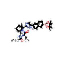 COC(=O)N[C@@H](CC#N)C(=O)N1[C@@H]2CCC[C@@H](C2)[C@H]1c1ncc(-c2ccc3cc(B4OC(C)(C)C(C)(C)O4)ccc3c2)[nH]1